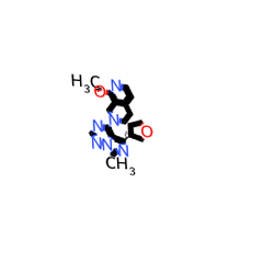 COc1nccc2c1CN(c1ncnn3c(C)nc([C@@H]4CCOC4)c13)CC2